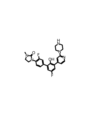 CN1CCN(c2ccc(-c3cc(F)cc(-c4ccnc(N5CCNCC5)c4)c3O)cc2F)C1=O